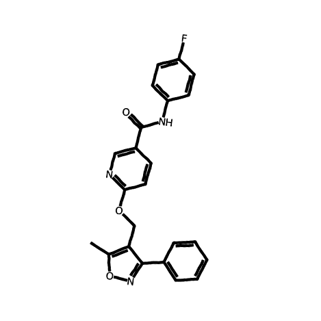 Cc1onc(-c2ccccc2)c1COc1ccc(C(=O)Nc2ccc(F)cc2)cn1